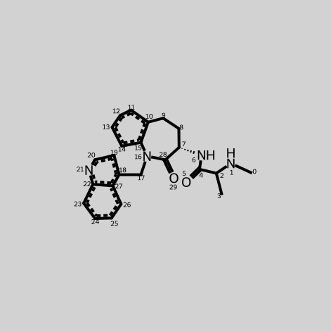 CNC(C)C(=O)N[C@H]1CCc2ccccc2N(Cc2ccnc3ccccc23)C1=O